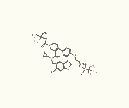 CC(C)(C)OC(=O)N1CCC(c2ccc(OCCO[Si](C)(C)C(C)(C)C)cc2)=C(C(=O)N(Cc2cc3c(cc2Cl)OCO3)C2CC2)C1